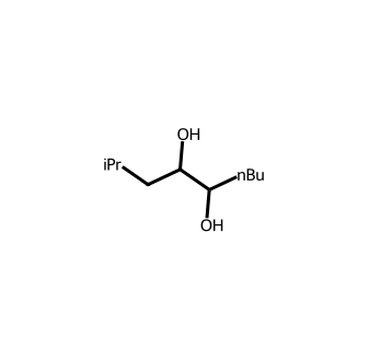 CCCCC(O)C(O)CC(C)C